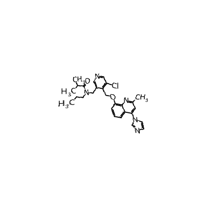 CCCN(Cc1cncc(Cl)c1COc1cccc2c(-n3ccnc3)cc(C)nc12)C(=O)C(C)C